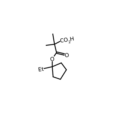 CCC1(OC(=O)C(C)(C)C(=O)O)CCCC1